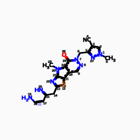 Cn1cc(C#N)c(Cn2ncc3c4sc(CC(=N)/C=C\N)nc4n(C)c3c2=O)n1